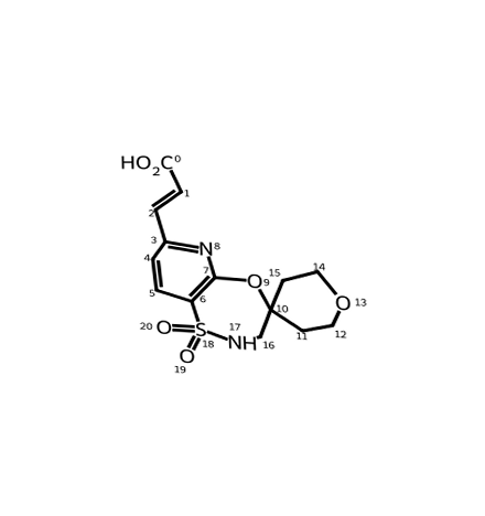 O=C(O)C=Cc1ccc2c(n1)OC1(CCOCC1)CNS2(=O)=O